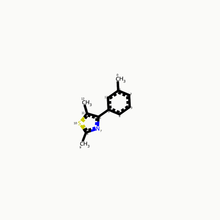 Cc1cccc(-c2nc(C)sc2C)c1